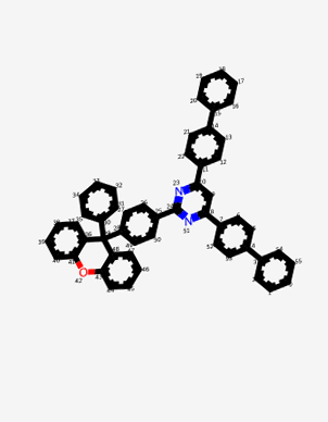 c1ccc(-c2ccc(-c3cc(-c4ccc(-c5ccccc5)cc4)nc(-c4ccc(C5(c6ccccc6)c6ccccc6Oc6ccccc65)cc4)n3)cc2)cc1